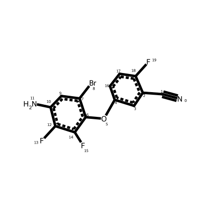 N#Cc1cc(Oc2c(Br)cc(N)c(F)c2F)ccc1F